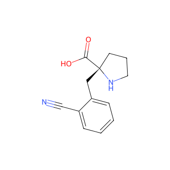 N#Cc1ccccc1C[C@@]1(C(=O)O)CCCN1